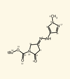 Cn1cc(N/N=C2\CC(=O)N(C(=O)OC(C)(C)C)C2)cn1